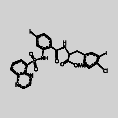 COC(=O)C(Cc1ccc(Cl)c(I)c1)NC(=O)c1ccc(I)cc1NS(=O)(=O)c1cccc2nccnc12